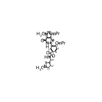 CCCOc1ccc(S(=O)(=O)NCC2CCN(C)C2)cc1-c1nc2c(CCC)nn(C)c2c(=O)[nH]1